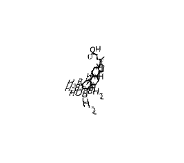 BC1(B)C[C@@]2(C)[C@H](CC[C@@H]3[C@@H]2CC[C@]2(C)[C@@H]([C@H](C)CCC(=O)O)CC[C@@H]32)C(B)(B)[C@H]1O